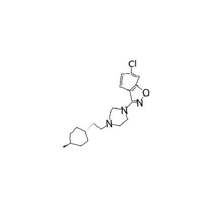 C[C@H]1CC[C@H](CCN2CCN(c3noc4cc(Cl)ccc34)CC2)CC1